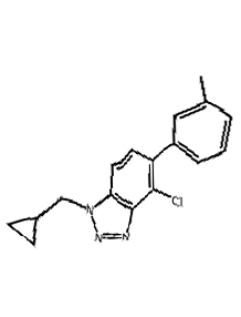 Cc1cccc(-c2ccc3c(nnn3CC3CC3)c2Cl)c1